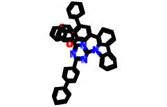 c1ccc(-c2ccc(-c3nc(-c4ccccc4)nc(-n4c5ccccc5c5cccc(-c6cc(-c7ccccc7)c7c(c6)oc6ccccc67)c54)n3)cc2)cc1